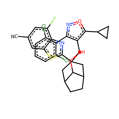 N#Cc1cc(F)c2nc(C3(O)CC4CCC(C3)C4OCc3c(-c4c(Cl)cccc4Cl)noc3C3CC3)sc2c1